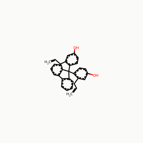 C=CCc1cc(O)ccc1C1(c2ccc(O)cc2CC=C)c2ccccc2-c2ccccc21